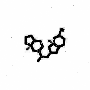 CC(C)N1CCN2C[C@@H](C[C@@H](C)N3CCN4CCC[C@]4(C)C3)C[C@@]2(C)C1